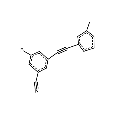 Cc1cccc(C#Cc2cc(F)cc(C#N)c2)c1